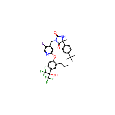 CCCc1cc(C(O)(C(F)(F)F)C(F)(F)F)ccc1Oc1cc(CN2C(=O)NC(C)(c3ccc(C(C)(C)C)cc3)C2=O)c(I)cn1